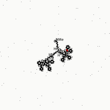 CNC(=O)CCCCCNC(=O)[C@H](CCCCNC(=O)CCCCOC1OC2(OC(=O)c3ccccc3)C(COC(=O)c3ccccc3)C(OC(=O)c3ccccc3)C(OC(=O)c3ccccc3)C12)NC(=O)OC1OC(OC(=O)c2ccccc2)C(OC(=O)c2ccccc2)C(OC(=O)c2ccccc2)C1OC(=O)c1ccccc1